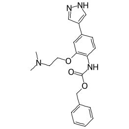 CN(C)CCOc1cc(-c2cn[nH]c2)ccc1NC(=O)OCc1ccccc1